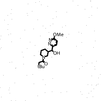 COc1ccc(C(O)C2CCCN(C(=O)CC(C)(C)C)C2)nn1